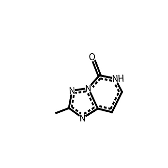 Cc1nc2cc[nH]c(=O)n2n1